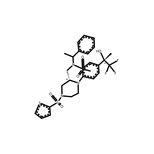 CC(c1ccccc1)N(C[C@H]1CN(S(=O)(=O)c2cccs2)CCN1c1ccc([C@](C)(O)C(F)(F)F)cc1)S(C)(=O)=O